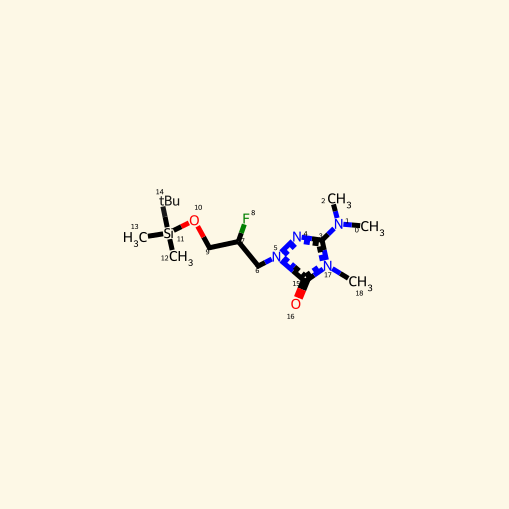 CN(C)c1nn(CC(F)CO[Si](C)(C)C(C)(C)C)c(=O)n1C